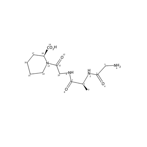 C[C@H](NC(=O)CN)C(=O)NCC(=O)N1CCCC[C@H]1C(=O)O